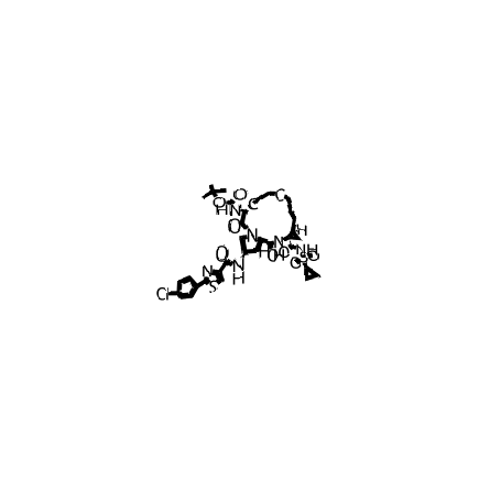 CC(C)(C)OC(=O)N[C@H]1CCCCC/C=C\[C@@H]2C[C@@]2(C(=O)NS(=O)(=O)C2CC2)NC(=O)[C@@H]2C[C@@H](NC(=O)c3csc(-c4ccc(Cl)cc4)n3)CN2C1=O